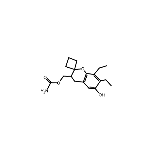 CCc1c(O)cc2c(c1CC)OC1(CCC1)C(COC(N)=O)C2